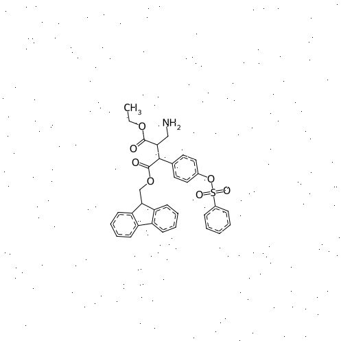 CCOC(=O)C(CN)C(C(=O)OCC1c2ccccc2-c2ccccc21)c1ccc(OS(=O)(=O)c2ccccc2)cc1